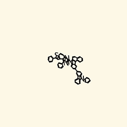 c1ccc(-c2cc3c(ccc4nc(-n5c6ccc(-c7ccc8c(c7)c7ccccc7n8-c7ccccc7)cc6c6c7ccccc7ccc65)nc(-c5ccccc5)c43)s2)cc1